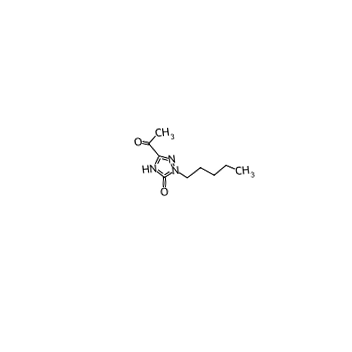 CCCCCn1nc(C(C)=O)[nH]c1=O